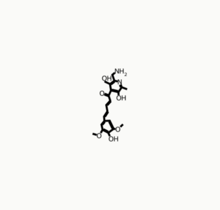 COc1cc(C=CC=CC(=O)c2c(O)c(C)nc(CN)c2CO)cc(OC)c1O